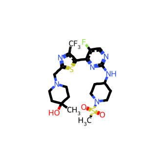 CC1(O)CCN(Cc2nc(C(F)(F)F)c(-c3nc(NC4CCN(S(C)(=O)=O)CC4)ncc3F)s2)CC1